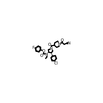 CCN(C(=O)Oc1ccc(F)cc1)[C@@H]1CN(C(=O)C2CCN(C(=O)CC#N)CC2)C[C@H]1c1ccc(Cl)cc1